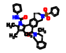 Cc1c(C)c(-c2cc3c(cc2C(=O)N2Cc4ccccc4C[C@H]2C)CN(S(=O)(=O)c2ccccc2)CC3)n(C(=O)Nc2ccccc2)c1C